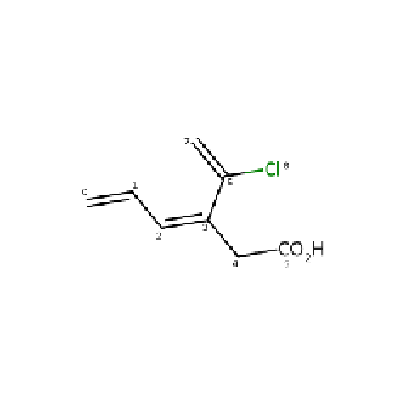 C=CC=C(CC(=O)O)C(=C)Cl